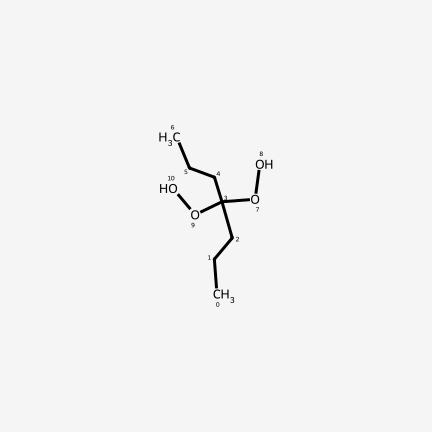 CCCC(CCC)(OO)OO